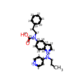 CCCN(c1ccncc1)n1ccc2cc(N(CCc3ccccc3)C(=O)O)ccc21